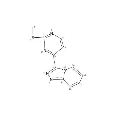 CSc1nccc(-c2nnc3ccccn23)n1